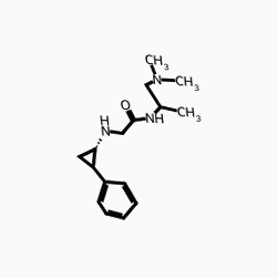 CC(CN(C)C)NC(=O)CN[C@H]1CC1c1ccccc1